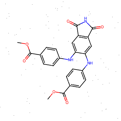 COC(=O)c1ccc(Nc2cc3c(cc2Nc2ccc(C(=O)OC)cc2)C(=O)NC3=O)cc1